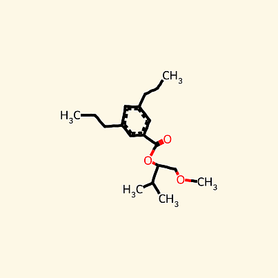 CCCc1cc(CCC)cc(C(=O)OC(COC)C(C)C)c1